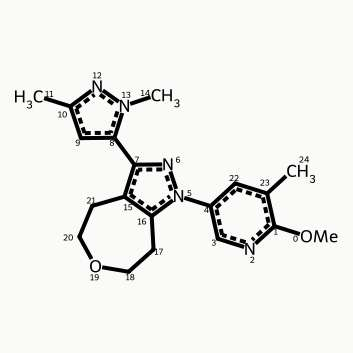 COc1ncc(-n2nc(-c3cc(C)nn3C)c3c2CCOCC3)cc1C